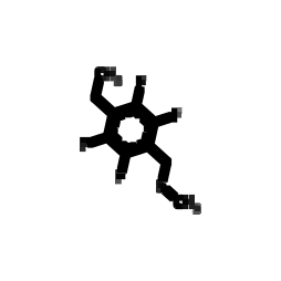 CCc1c(F)c(F)c(CSC)c(F)c1F